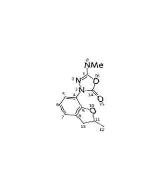 CNc1nn(-c2cccc3c2OC(C)C3)c(=O)o1